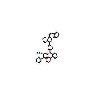 CC(C)(C)c1cc(N(c2ccc(-c3cc4c5ccccc5ccc4c4ccccc34)cc2)c2ccccc2-c2ccccc2)ccc1-c1ccccc1